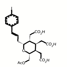 CC(=O)OC[C@@H]1O[C@H](C/C=C/c2ccc(I)cc2)[C@H](CC(=O)O)[C@@H](CC(=O)O)[C@H]1CC(=O)O